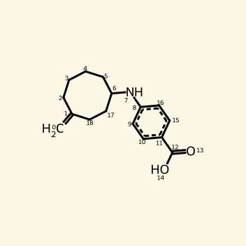 C=C1CCCCC(Nc2ccc(C(=O)O)cc2)CC1